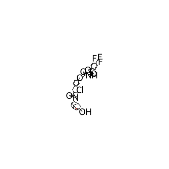 O=C(COc1ccc(CC2CCN(C3C4CC5CC3CC(O)(C5)C4)C2=O)c(Cl)c1)NS(=O)(=O)c1ccc(C(F)(F)F)cc1